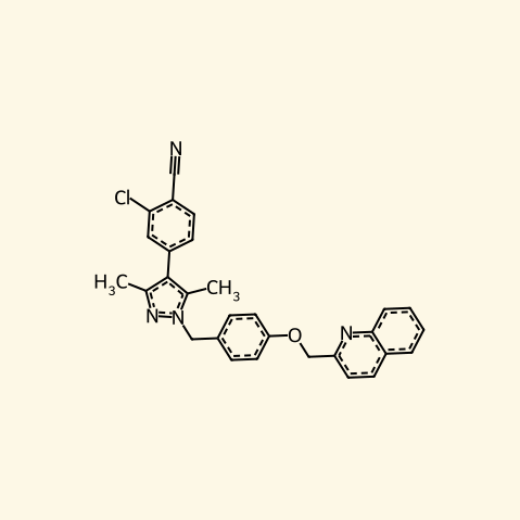 Cc1nn(Cc2ccc(OCc3ccc4ccccc4n3)cc2)c(C)c1-c1ccc(C#N)c(Cl)c1